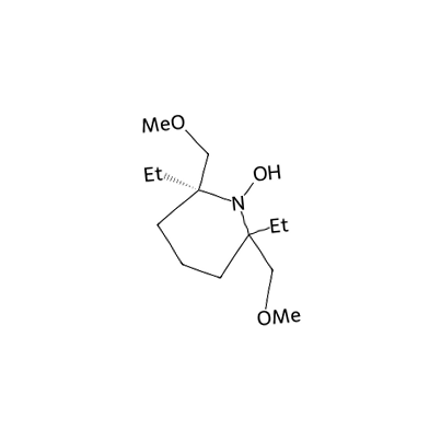 CCC1(COC)CCC[C@@](CC)(COC)N1O